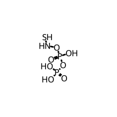 O=P(O)(O)OP(=O)(O)ONS